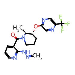 C=NNc1ncccc1C(=O)N1CCC[C@@H](Oc2cnc(C(F)(F)F)cn2)[C@@H]1C